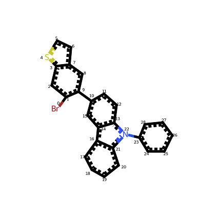 Brc1cc2sccc2cc1-c1ccc2c(c1)c1ccccc1n2-c1ccccc1